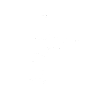 CC(C)Oc1cccc(N(C)C(=O)C(CCO)c2ccc(Cl)c(Cl)c2)c1